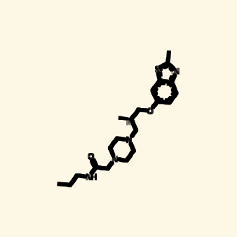 CCCNC(=O)CN1CCN(C[C@@H](C)COc2ccc3nc(C)sc3c2)CC1